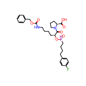 O=C(NCCCC[C@H](O[PH](=O)CCCCc1ccc(F)cc1)C(=O)N1CCC[C@H]1C(=O)O)OCc1ccccc1